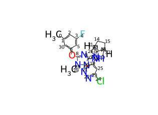 Cc1cc(F)cc(Oc2nc(NC3[C@@H]4CC[C@H]3CN(c3cnnc(Cl)c3)C4)nn2C)c1